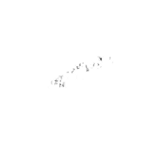 CC(C)(CCC(=O)C(C)(C)C)OCC(C)(C)SSCCCC(=N)C(C)(C)C